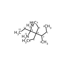 CCC(C)C(CC)(CC)C(N)(N)CC